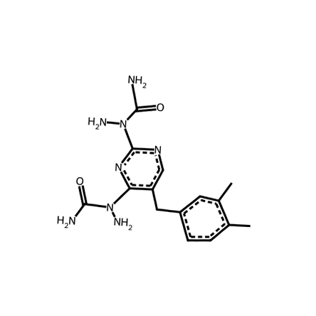 Cc1ccc(Cc2cnc(N(N)C(N)=O)nc2N(N)C(N)=O)cc1C